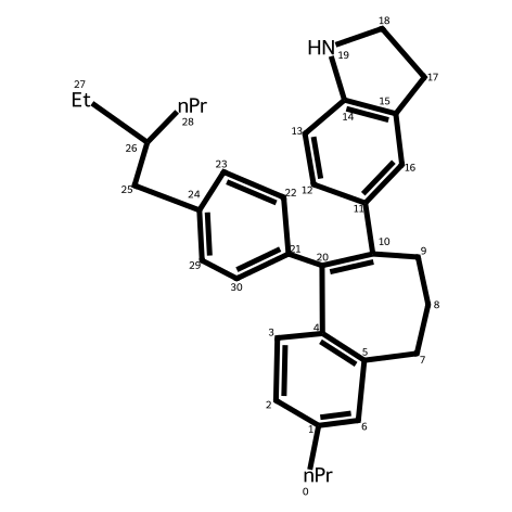 CCCc1ccc2c(c1)CCCC(c1ccc3c(c1)CCN3)=C2c1ccc(CC(CC)CCC)cc1